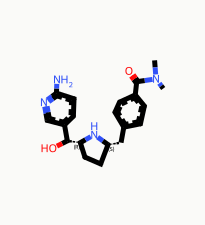 CN(C)C(=O)c1ccc(C[C@@H]2CC[C@H](C(O)c3ccc(N)nc3)N2)cc1